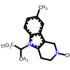 CCOC(=O)C(C)n1c2c(c3cc(C)ccc31)CN(C)CC2